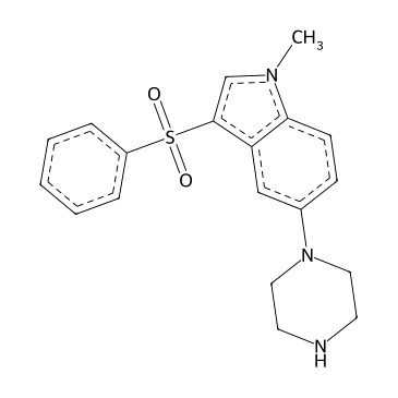 Cn1cc(S(=O)(=O)c2ccccc2)c2cc(N3CCNCC3)ccc21